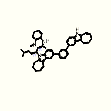 C=NC1=C(N/C(C)=C/C(=C\C=C(C)C)n2c3c(c4cc(-c5cccc(-c6ccc7[nH]c8c(c7c6)C=CCC=C8)c5)ccc42)C=CCCC3)C=CCC1